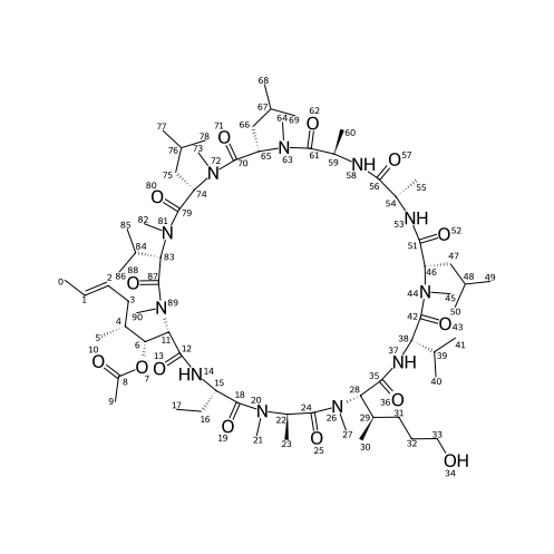 C/C=C/C[C@@H](C)[C@@H](OC(C)=O)[C@H]1C(=O)N[C@@H](CC)C(=O)N(C)[C@H](C)C(=O)N(C)[C@@H]([C@H](C)CCCO)C(=O)N[C@@H](C(C)C)C(=O)N(C)[C@@H](CC(C)C)C(=O)N[C@@H](C)C(=O)N[C@H](C)C(=O)N(C)[C@@H](CC(C)C)C(=O)N(C)[C@@H](CC(C)C)C(=O)N(C)[C@@H](C(C)C)C(=O)N1C